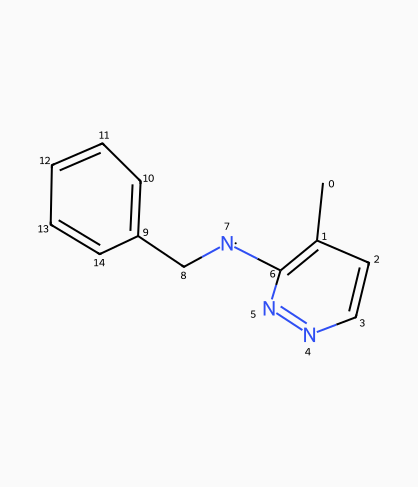 Cc1ccnnc1[N]Cc1ccccc1